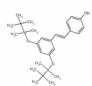 CC(C)(C)[Si](C)(C)Oc1cc(C=Cc2ccc(O)cc2)cc(O[Si](C)(C)C(C)(C)C)c1